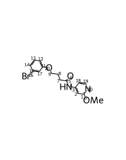 COc1cc(NC(=O)CCCOc2cccc(Br)c2)ccn1